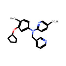 COc1ccc(N(Cc2cccnc2)c2ccc(C(=O)O)cn2)cc1OC1CCCC1